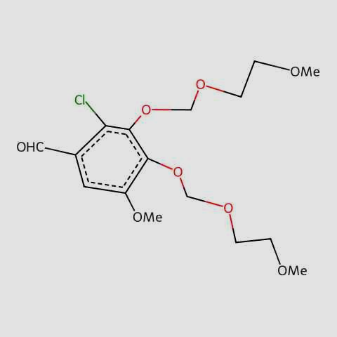 COCCOCOc1c(OC)cc(C=O)c(Cl)c1OCOCCOC